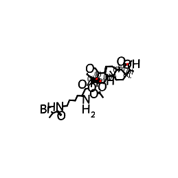 CC(=O)O[C@@H]1C[C@@]23COC[C@](C)([C@@H]2CC[C@H]2C3=CC[C@@]3(C)[C@H](C(=O)O)[C@@](C)([C@H](C)C(C)C)CC[C@]23C)[C@H]1OC(=O)C(N)CCCCNC(=O)C(C)Br